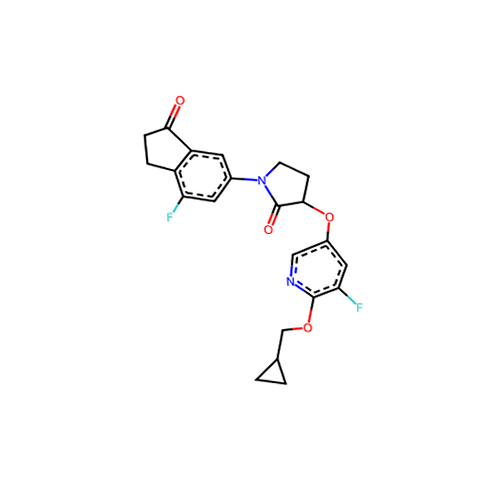 O=C1CCc2c(F)cc(N3CCC(Oc4cnc(OCC5CC5)c(F)c4)C3=O)cc21